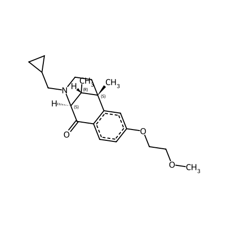 COCCOc1ccc2c(c1)[C@@]1(C)CCN(CC3CC3)[C@H](C2=O)[C@@H]1C